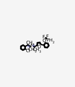 C/C(=N\C(C)=C(/C)c1ccccc1Cl)c1ccc(-c2ccccc2OC(F)(F)P)o1